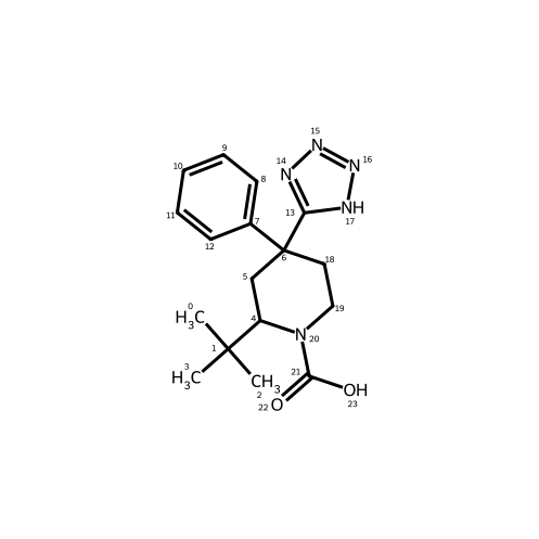 CC(C)(C)C1CC(c2ccccc2)(c2nnn[nH]2)CCN1C(=O)O